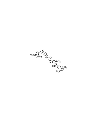 COc1ccc(CNC(=O)c2ccc(CNC(=O)Cc3cccc(CC(C)NC[C@H](O)c4ccc(-n5c(C)ccc5C)nc4)c3)cc2)cc1OC